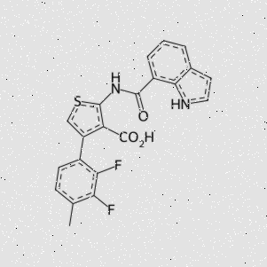 Cc1ccc(-c2csc(NC(=O)c3cccc4cc[nH]c34)c2C(=O)O)c(F)c1F